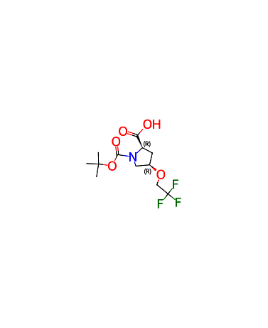 CC(C)(C)OC(=O)N1C[C@H](OCC(F)(F)F)C[C@@H]1C(=O)O